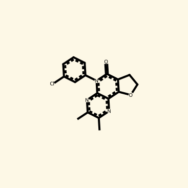 Cc1nc2c3c(c(=O)n(-c4cccc(Cl)c4)c2nc1C)CCO3